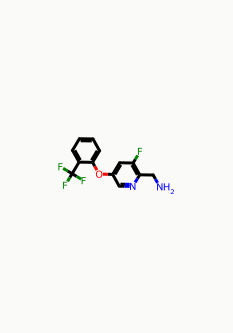 NCc1ncc(Oc2ccccc2C(F)(F)F)cc1F